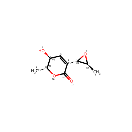 C[C@@H]1O[C@H]1C1=C[C@H](O)[C@@H](C)OC1=O